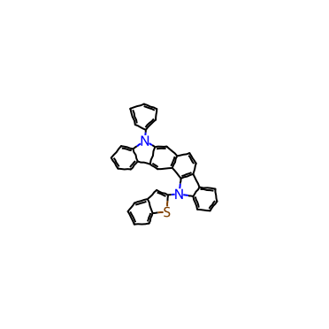 c1ccc(-n2c3ccccc3c3cc4c(ccc5c6ccccc6n(-c6cc7ccccc7s6)c45)cc32)cc1